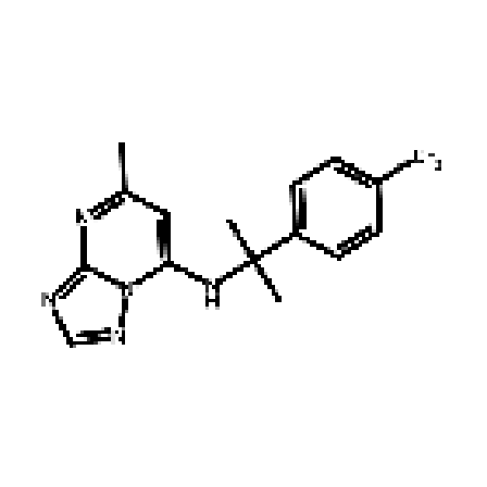 Cc1cc(NC(C)(C)c2ccc(C(F)(F)F)cc2)n2ncnc2n1